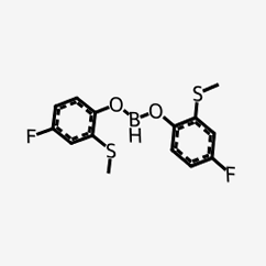 CSc1cc(F)ccc1OBOc1ccc(F)cc1SC